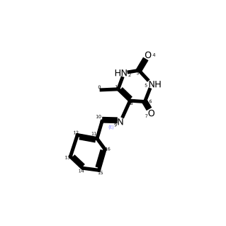 Cc1[nH]c(=O)[nH]c(=O)c1/N=C/c1ccccc1